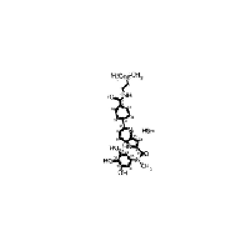 Br.CN(C)CCNC(=O)c1ccc(-c2ccc3[nH]c(C(=O)N(C)c4cc(O)c(O)c(O)c4)cc3n2)cc1